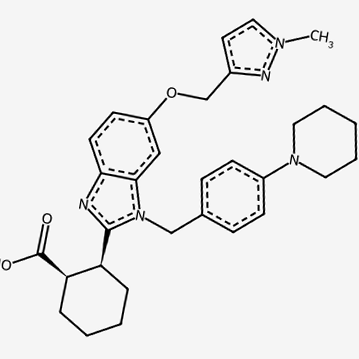 Cn1ccc(COc2ccc3nc([C@H]4CCCC[C@H]4C(=O)O)n(Cc4ccc(N5CCCCC5)cc4)c3c2)n1